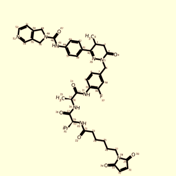 CC1CC(=O)N(Cc2ccc(NC(=O)[C@H](C)NC(=O)[C@@H](NC(=O)CCCCCN3C(=O)C=CC3=O)C(C)C)c(F)c2)N=C1c1ccc(NC(=O)N2Cc3ccncc3C2)cc1